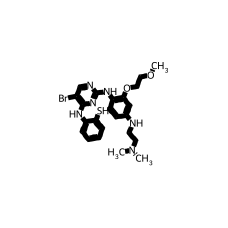 COCCOc1cc(NCCN(C)C)ccc1Nc1ncc(Br)c(Nc2ccccc2S)n1